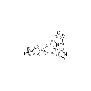 O=S1(=O)CCN(C(c2cccnc2)C2CCN(c3ccc(C(F)(F)F)nc3)CC2)CC1